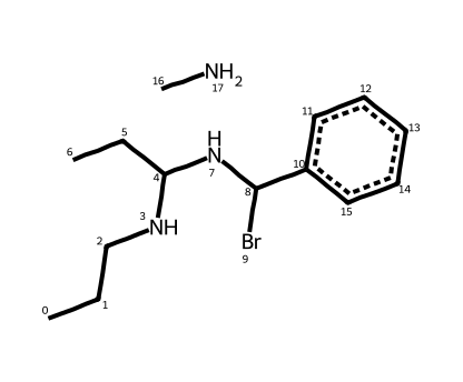 CCCNC(CC)NC(Br)c1ccccc1.CN